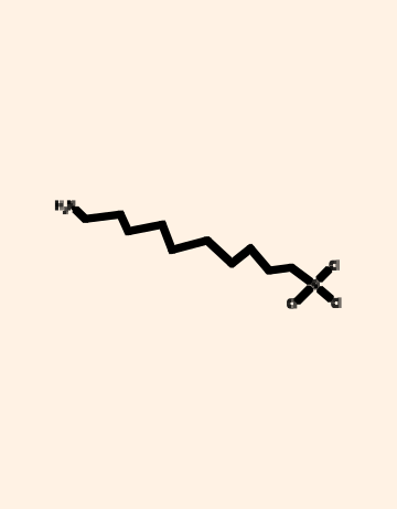 NCCCCCCCCCC[Si](Cl)(Cl)Cl